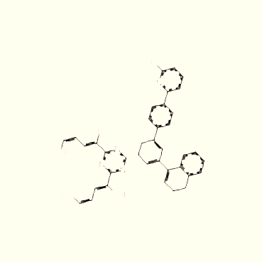 C/C=C\C=C(/C)c1nc(/C(=C/C=C\C)CC)nc([C@H]2C=C(C3=CCCc4ccccc43)C=C(c3ccc(-c4cccc(C)n4)cc3)C2)n1